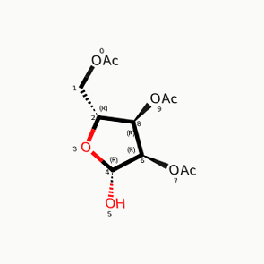 CC(=O)OC[C@H]1O[C@@H](O)[C@H](OC(C)=O)[C@@H]1OC(C)=O